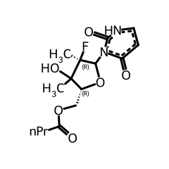 CCCC(=O)OC[C@H]1OC(n2c(=O)cc[nH]c2=O)[C@](C)(F)C1(C)O